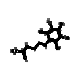 [2H]c1c([2H])c([2H])c(OCCOC(C)=O)c([2H])c1[2H]